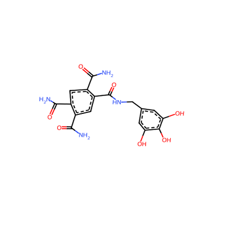 NC(=O)c1cc(C(N)=O)c(C(=O)NCc2cc(O)c(O)c(O)c2)cc1C(N)=O